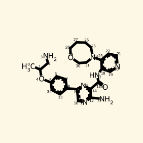 CC(CN)Oc1ccc(-c2cnc(N)c(C(=O)Nc3cnccc3N3CCCCOCC3)n2)cc1